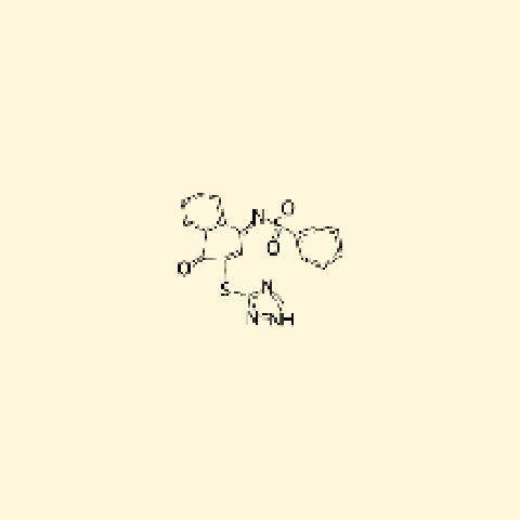 O=C1C(Sc2nc[nH]n2)=C/C(=N\S(=O)(=O)c2ccccc2)c2ccccc21